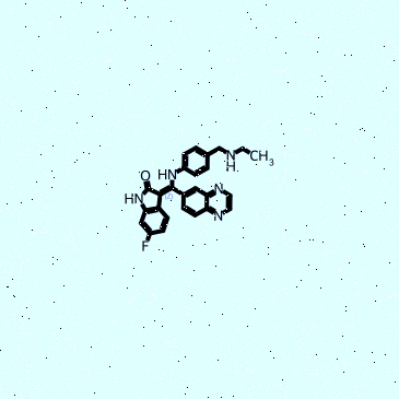 CCNCc1ccc(N/C(=C2\C(=O)Nc3cc(F)ccc32)c2ccc3nccnc3c2)cc1